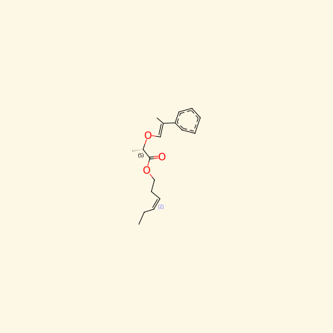 CC/C=C\CCOC(=O)[C@H](C)OC=C(C)c1ccccc1